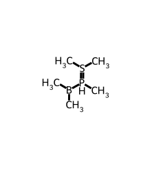 CB(C)[PH](C)=S(C)C